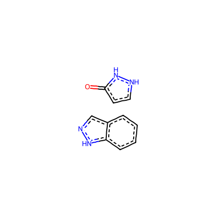 O=c1cc[nH][nH]1.c1ccc2[nH]ncc2c1